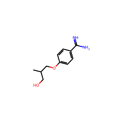 CC(CO)COc1ccc(C(=N)N)cc1